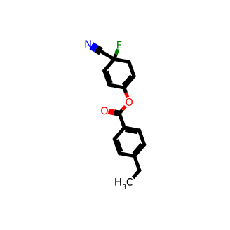 CCc1ccc(C(=O)OC2=CCC(F)(C#N)C=C2)cc1